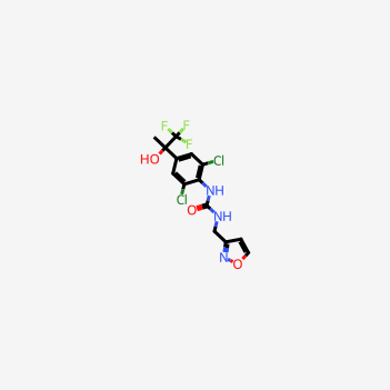 CC(O)(c1cc(Cl)c(NC(=O)NCc2ccon2)c(Cl)c1)C(F)(F)F